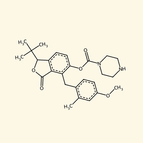 COc1ccc(Cc2c(OC(=O)N3CCNCC3)ccc3c2C(=O)OC3C(C)(C)C)c(C)c1